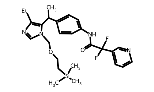 CCc1ncn(COCC[Si](C)(C)C)c1C(C)c1ccc(NC(=O)C(F)(F)c2cccnc2)cc1